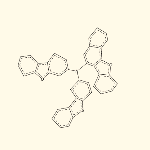 c1ccc2c(c1)cc(N(c1ccc3c(c1)oc1ccccc13)c1ccc3sc4ccccc4c3c1)c1c3ccccc3oc21